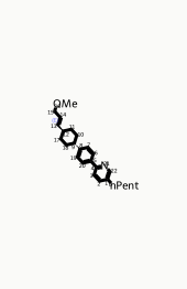 CCCCCc1ccc(-c2ccc([C@H]3CC[C@H](/C=C/COC)CC3)cc2)nc1